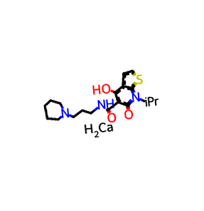 CC(C)n1c(=O)c(C(=O)NCCCN2CCCCC2)c(O)c2ccsc21.[CaH2]